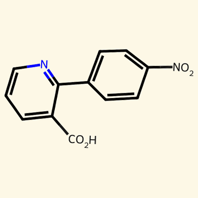 O=C(O)c1cccnc1-c1ccc([N+](=O)[O-])cc1